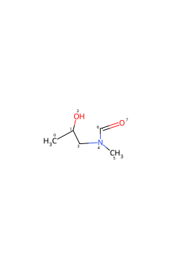 CC(O)CN(C)[C]=O